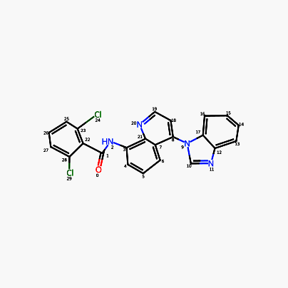 O=C(Nc1cccc2c(-n3cnc4ccccc43)ccnc12)c1c(Cl)cccc1Cl